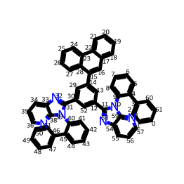 c1ccc(-c2ccccc2-n2c(-c3cc(-c4cc5ccccc5c5ccccc45)cc(-c4nc5cccnc5n4-c4ccccc4-c4ccccc4)c3)nc3cccnc32)cc1